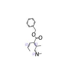 C\C=C/C(C(=O)OCc1ccccc1)=C(C)\C=N/C